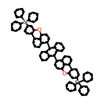 c1ccc([Si](c2ccccc2)(c2ccccc2)c2ccc3c(c2)Oc2ccc(-c4c5ccccc5c(-c5ccc6c7c(cccc57)-c5ccc([Si](c7ccccc7)(c7ccccc7)c7ccccc7)cc5O6)c5ccccc45)c4cccc-3c24)cc1